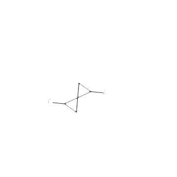 FC1CC12CC2F